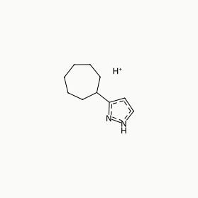 [H+].c1cc(C2CCCCCC2)n[nH]1